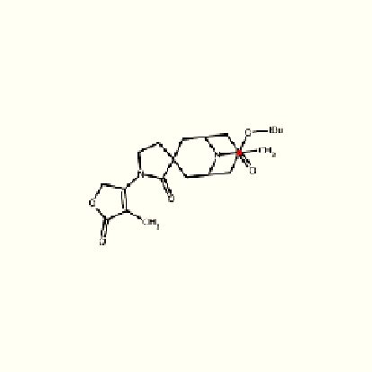 CC1=C(N2CCC3(CC4CN(C)CC(C3)N4C(=O)OC(C)(C)C)C2=O)COC1=O